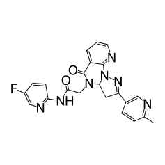 Cc1ccc(C2=NN3c4ncccc4C(=O)N(CC(=O)Nc4ccc(F)cn4)C3C2)cn1